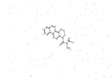 CC(NI)C(=O)C1CCCc2c1ccc1c2ccc2ccccc21